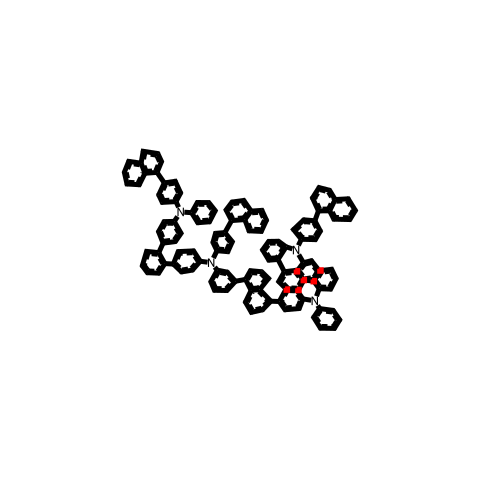 c1ccc(N(c2ccc(-c3ccccc3-c3ccc(N(c4ccc(-c5cccc6ccccc56)cc4)c4cccc(-c5cccc6c(-c7ccc(N(c8ccccc8)c8ccccc8-c8cccc(-c9ccccc9N(c9ccccc9)c9ccc(-c%10cccc%11ccccc%10%11)cc9)c8)cc7)cccc56)c4)cc3)cc2)c2ccc(-c3cccc4ccccc34)cc2)cc1